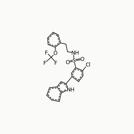 O=S(=O)(NCCc1ccccc1OC(F)(F)F)c1cc(-c2cc3ccccc3[nH]2)ccc1Cl